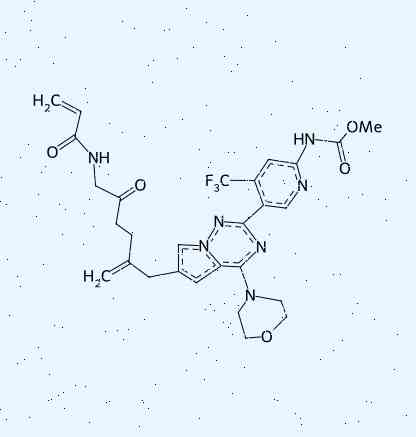 C=CC(=O)NCC(=O)CCC(=C)Cc1cc2c(N3CCOCC3)nc(-c3cnc(NC(=O)OC)cc3C(F)(F)F)nn2c1